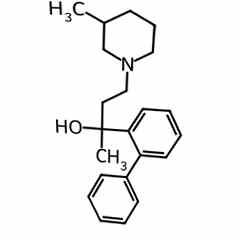 CC1CCCN(CCC(C)(O)c2ccccc2-c2ccccc2)C1